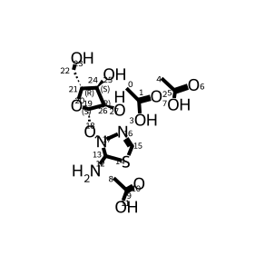 CC(=O)O.CC(=O)O.CC(=O)O.NC1SC=NN1O[C@@H]1O[C@H](CO)[C@@H](O)[C@H]1O